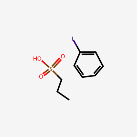 CCCS(=O)(=O)O.Ic1ccccc1